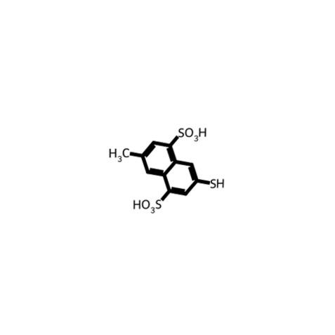 Cc1cc(S(=O)(=O)O)c2cc(S)cc(S(=O)(=O)O)c2c1